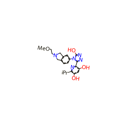 COCCN1Cc2ccc(-n3c(O)nnc3-c3nc(C(C)C)c(O)cc3O)cc2C1